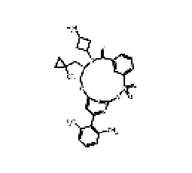 Cc1cccc(C)c1-c1cc2nc(n1)NS(=O)(=O)c1cccc(c1)C(=O)N(C1CC(N)C1)[C@H](CC1(C(F)(F)F)CC1)CO2